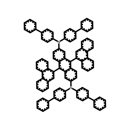 c1ccc(-c2ccc(N(c3ccc(-c4ccccc4)cc3)c3ccc4c(-c5cc6ccccc6c6ccccc56)c5cc(N(c6ccc(-c7ccccc7)cc6)c6ccc(-c7ccccc7)cc6)ccc5c(-c5cc6ccccc6c6ccccc56)c4c3)cc2)cc1